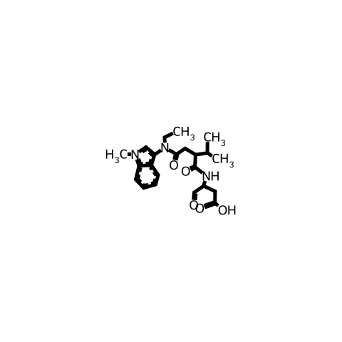 CCN(C(=O)CC(C(=O)NC(C=O)CC(=O)O)C(C)C)c1cn(C)c2ccccc12